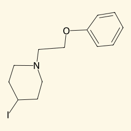 IC1CCN(CCOc2ccccc2)CC1